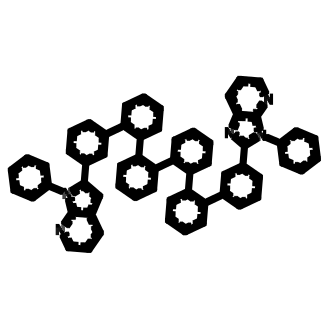 c1ccc(-n2c(-c3cccc(-c4ccccc4-c4ccccc4-c4ccccc4-c4ccccc4-c4cccc(-c5nc6cccnc6n5-c5ccccc5)c4)c3)cc3cccnc32)cc1